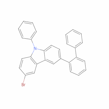 Brc1ccc2c(c1)c1cc(-c3ccccc3-c3ccccc3)ccc1n2-c1ccccc1